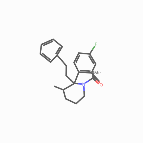 CNC(=O)N1CCCC(C)C1(CCc1ccccc1)c1ccc(F)cc1C